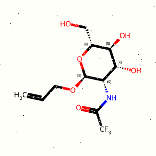 C=CCO[C@H]1O[C@H](CO)[C@@H](O)[C@H](O)[C@@H]1NC(=O)C(F)(F)F